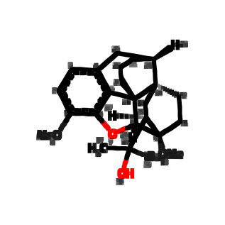 COc1ccc2c3c1O[C@H]1[C@@]4(OC)CC[C@@]5(C[C@@H]4C(C)(O)C(C)(C)C)[C@H](CCC[C@]315)C2